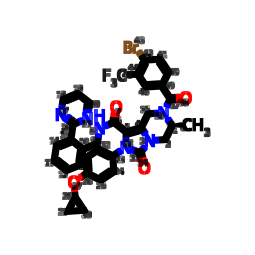 C[C@H]1Cn2c(c(C(=O)NCc3ccccc3-c3ncccn3)n(-c3ccc(OC4CC4)cc3)c2=O)CN1C(=O)c1ccc(Br)c(C(F)(F)F)c1